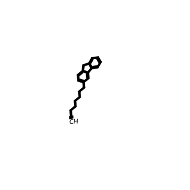 C#CCCCCCCc1ccc2c(c1)-c1ccccc1C2